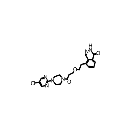 O=C(CCOCCc1cccc2c(=O)[nH]ncc12)N1CCN(c2ncc(Cl)cn2)CC1